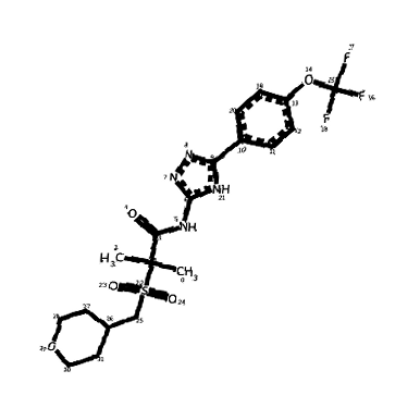 CC(C)(C(=O)Nc1nnc(-c2ccc(OC(F)(F)F)cc2)[nH]1)S(=O)(=O)CC1CCOCC1